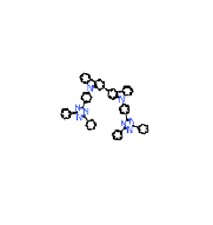 c1ccc(-c2nc(-c3ccccc3)nc(-c3ccc(-n4c5ccccc5c5cc(-c6ccc7c8ccccc8n(-c8ccc(-c9nc(-c%10ccccc%10)nc(-c%10ccccc%10)n9)cc8)c7c6)ccc54)cc3)n2)cc1